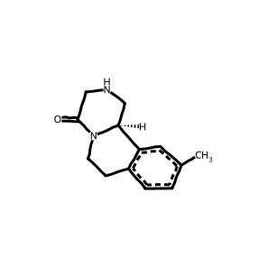 Cc1ccc2c(c1)[C@@H]1CNCC(=O)N1CC2